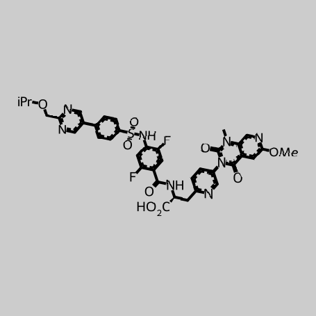 COc1cc2c(=O)n(-c3ccc(C[C@H](NC(=O)c4cc(F)c(NS(=O)(=O)c5ccc(-c6cnc(COC(C)C)nc6)cc5)cc4F)C(=O)O)nc3)c(=O)n(C)c2cn1